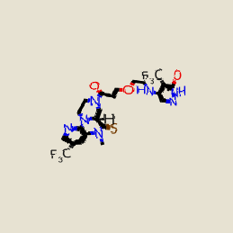 C[C@@H](COCCC(=O)N1CCN2c3ncc(C(F)(F)F)cc3N(C)C(=S)[C@H]2C1)Nc1cn[nH]c(=O)c1C(F)(F)F